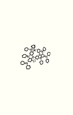 C[Si]1(C)c2ccccc2N(c2ccccc2)c2cc3c(cc21)B1c2cc4c(cc2Oc2cc(N(c5ccccc5)c5ccccc5)cc(c21)N3c1ccccc1)N(c1ccccc1)c1cc(N(c2ccccc2)c2ccccc2)cc2c1B4c1ccccc1N2c1ccccc1